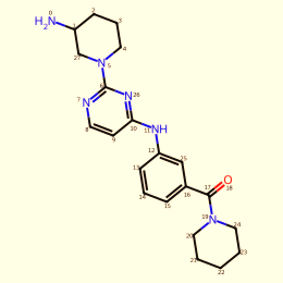 NC1CCCN(c2nccc(Nc3cccc(C(=O)N4CCCCC4)c3)n2)C1